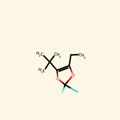 CCC1=C(C(C)(C)C)OC(F)(F)O1